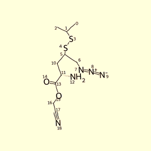 CC(C)SSC(CN=[N+]=[N-])C[C@H](N)C(=O)OCC#N